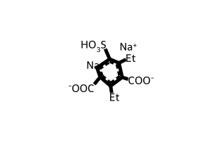 CCc1c(C(=O)[O-])cc(S(=O)(=O)O)c(CC)c1C(=O)[O-].[Na+].[Na+]